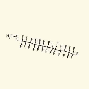 CSCC(F)(F)C(F)(F)C(F)(F)C(F)(F)C(F)(F)C(F)(F)C(F)(F)C(F)(F)C(F)(F)C(F)(F)C(F)(F)C(F)(F)C(F)(F)F